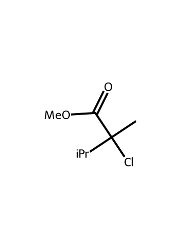 COC(=O)C(C)(Cl)C(C)C